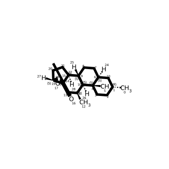 C[C@@H]1CC[C@@]2(C)[C@@H](CC[C@@H]3[C@@H]2[C@@H](C)C[C@]24C(=O)OC[C@H]2CC[C@@H]34)C1